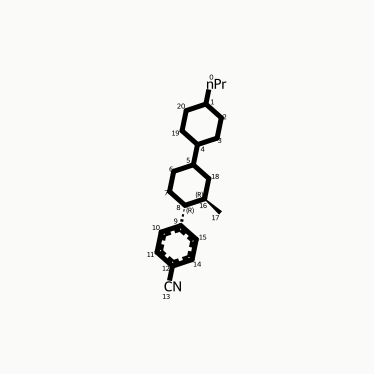 CCCC1CCC(C2CC[C@@H](c3ccc(C#N)cc3)[C@H](C)C2)CC1